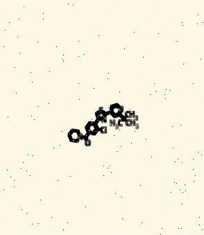 CC(C)(C)c1cc(-c2nc(-c3ccc(C(=O)N4CCCCC4)cc3Cl)cs2)ccn1